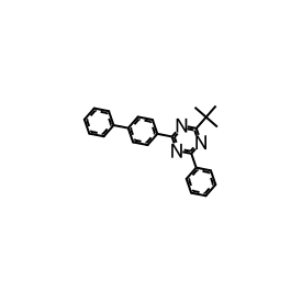 CC(C)(C)c1nc(-c2ccccc2)nc(-c2ccc(-c3ccccc3)cc2)n1